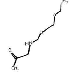 CCOCOCNCC(C)=O